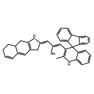 CCC(C)C(/C=C1\CC2=C(CC3CCC=CC3=C2)P1)=C\C1=C(C)Nc2ccccc2C12c1ccccc1-c1ccccc12